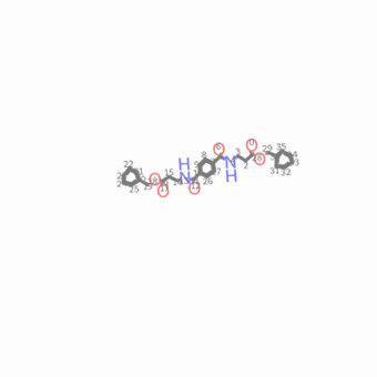 O=C(CCNC(=O)c1ccc(C(=O)NCCC(=O)OCc2ccccc2)cc1)OCc1ccccc1